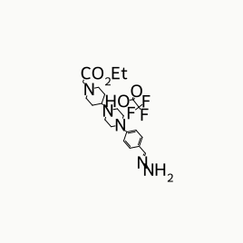 CCOC(=O)CN1CCC(N2CCN(c3ccc(C=NN)cc3)CC2)CC1.O=C(O)C(F)(F)F